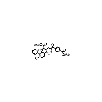 COC(=O)c1ccc(C(=O)NCc2c(C(=O)OC)[nH]c3c(-c4ccccc4)c(Cl)ccc3c2=O)cc1